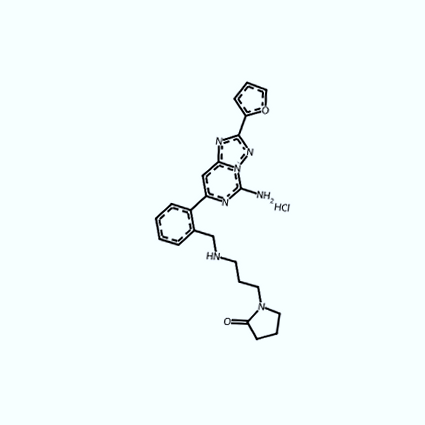 Cl.Nc1nc(-c2ccccc2CNCCCN2CCCC2=O)cc2nc(-c3ccco3)nn12